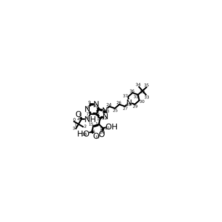 CC(C)(C)C(=O)Nc1ncnc2c1c(/C(=C/C(=O)O)C(=O)O)nn2CCCCN1CCC(C(C)(C)C)CC1